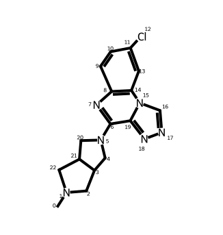 CN1CC2CN(c3nc4ccc(Cl)cc4n4cnnc34)CC2C1